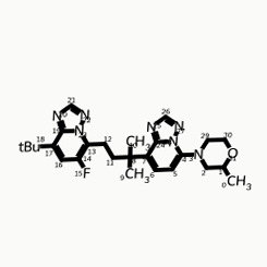 CC1CN(c2ccc(C(C)(C)CCc3c(F)cc(C(C)(C)C)c4ncnn34)c3ncnn23)CCO1